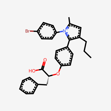 CCCc1cc(C)n(-c2ccc(Br)cc2)c1-c1ccc(O[C@H](Cc2ccccc2)C(=O)O)cc1